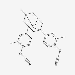 Cc1cc(C23CC4CC(C)(C2)CC(c2ccc(OC#N)c(C)c2)(C4)C3)ccc1OC#N